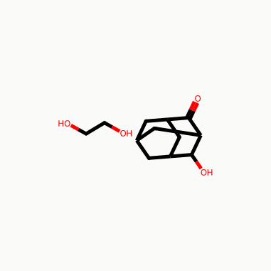 O=C1C2CC3CC(C2)C(O)C1C3.OCCO